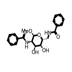 CO[C@H]1O[C@H](CNC(=O)c2ccccc2)[C@@H](O)[C@@H](O)[C@H]1NC(=O)c1ccccc1